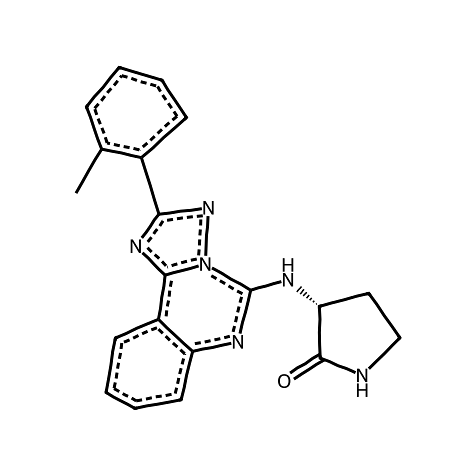 Cc1ccccc1-c1nc2c3ccccc3nc(N[C@@H]3CCNC3=O)n2n1